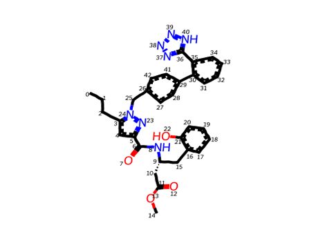 CCCc1cc(C(=O)N[C@@H](CC(=O)OC)Cc2ccccc2O)nn1Cc1ccc(-c2ccccc2-c2nnn[nH]2)cc1